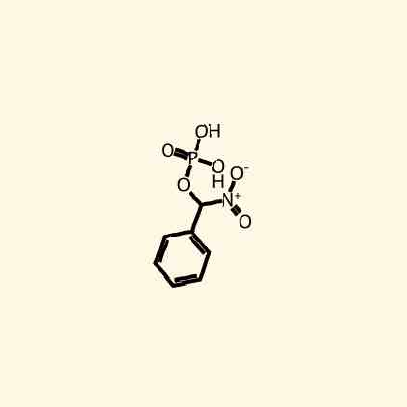 O=[N+]([O-])C(OP(=O)(O)O)c1ccccc1